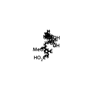 C=C(C)C(/C=C/N(C)CC(=O)O)=C/C(=C\C)C(=C/C=C\CCN1O[C@@H](CO)[C@@H]([C@H](C)O)[C@H]1C(=O)N[C@H]1C[C@H]2C[C@@H]([C@@H]1C)C2(C)C)/COC